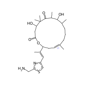 CC(=Cc1csc(CN)n1)C1C/C=C(/C)CCCC(C)C(O)C(C)C(=O)C(C)(C)C(O)CC(=O)O1